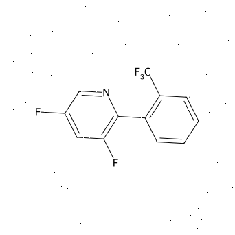 Fc1cnc(-c2ccc[c]c2C(F)(F)F)c(F)c1